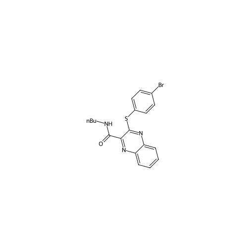 CCCCNC(=O)c1nc2ccccc2nc1Sc1ccc(Br)cc1